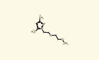 COCCOCCn1nc(C)cc1C